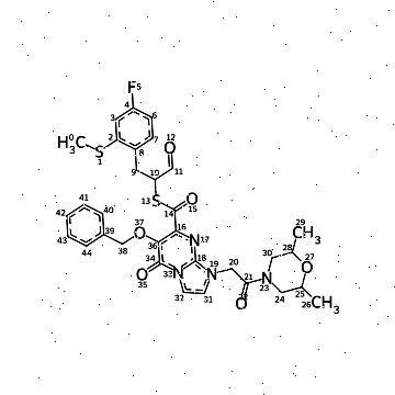 CSc1cc(F)ccc1CC(C=O)SC(=O)c1nc2n(CC(=O)N3CC(C)OC(C)C3)ccn2c(=O)c1OCc1ccccc1